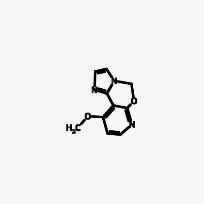 COc1ccnc2c1-c1nccn1CO2